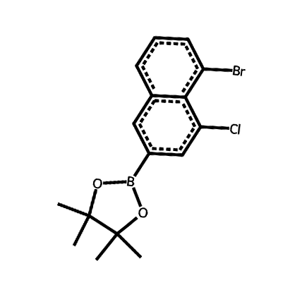 CC1(C)OB(c2cc(Cl)c3c(Br)cccc3c2)OC1(C)C